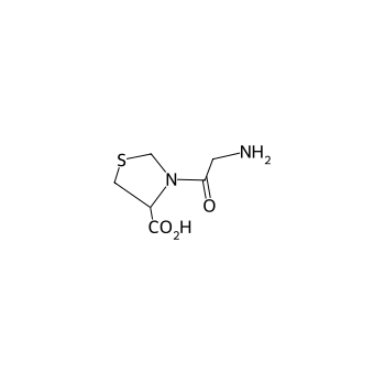 NCC(=O)N1CSCC1C(=O)O